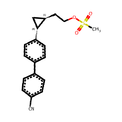 CS(=O)(=O)OCC[C@@H]1C[C@H]1c1ccc(-c2ccc(C#N)cc2)cc1